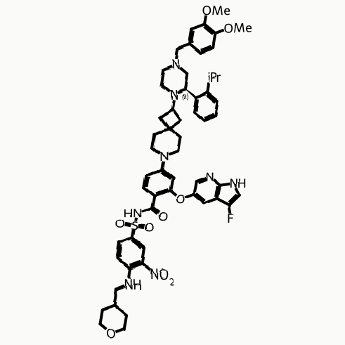 COc1ccc(CN2CCN(C3CC4(CCN(c5ccc(C(=O)NS(=O)(=O)c6ccc(NCC7CCOCC7)c([N+](=O)[O-])c6)c(Oc6cnc7[nH]cc(F)c7c6)c5)CC4)C3)[C@H](c3ccccc3C(C)C)C2)cc1OC